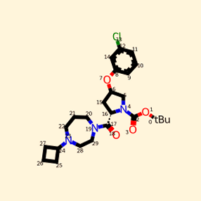 CC(C)(C)OC(=O)N1CC(Oc2cccc(Cl)c2)C[C@H]1C(=O)N1CCCN(C2CCC2)CC1